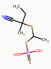 CCC(C)(C#N)SC(C)SP(O)(O)=S